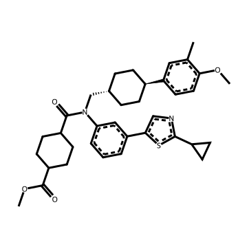 COC(=O)C1CCC(C(=O)N(C[C@H]2CC[C@H](c3ccc(OC)c(C)c3)CC2)c2cccc(-c3cnc(C4CC4)s3)c2)CC1